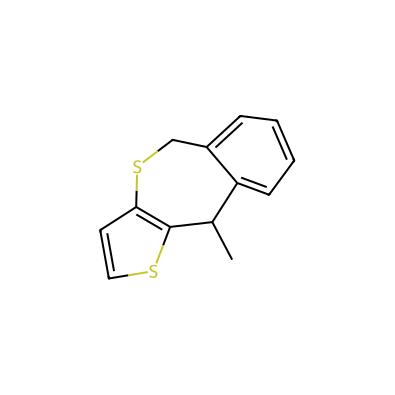 CC1c2ccccc2CSc2ccsc21